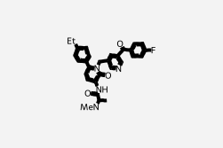 CCc1ccc(-c2ccc(NC(=O)C(C)NC)c(=O)n2Cc2cncc(C(=O)c3ccc(F)cc3)c2)cc1